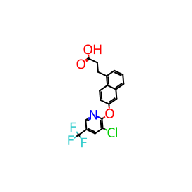 O=C(O)CCc1cccc2cc(Oc3ncc(C(F)(F)F)cc3Cl)ccc12